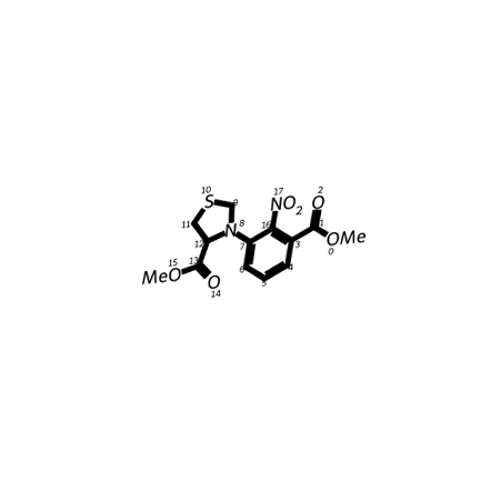 COC(=O)c1cccc(N2CSCC2C(=O)OC)c1[N+](=O)[O-]